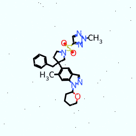 Cc1cc2c(cnn2C2CCCCO2)cc1C1(Cc2ccccc2)CCN(S(=O)(=O)c2cnn(C)n2)C1